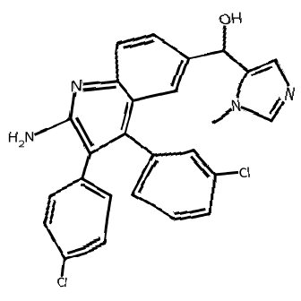 Cn1cncc1C(O)c1ccc2nc(N)c(-c3ccc(Cl)cc3)c(-c3cccc(Cl)c3)c2c1